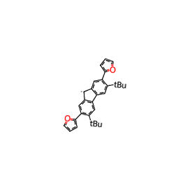 CC(C)(C)c1cc2c(cc1-c1ccco1)[CH]c1cc(-c3ccco3)c(C(C)(C)C)cc1-2